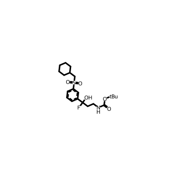 CC(C)(C)OC(=O)NCCC(O)(F)c1cccc(S(=O)(=O)CC2CCCCC2)c1